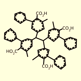 Cc1cc(C(c2cc(C)c(C(=O)O)c(-c3ccccc3)c2)C(c2cc(C)c(C(=O)O)c(-c3ccccc3)c2)c2cc(C)c(C(=O)O)c(-c3ccccc3)c2)cc(-c2ccccc2)c1C(=O)O